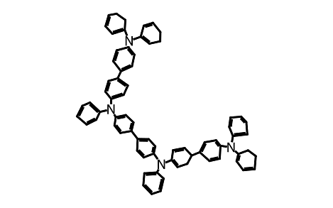 C1=CCCC(N(C2=CCCC=C2)c2ccc(-c3ccc(N(c4ccccc4)c4ccc(-c5ccc(N(C6=CCC(c7ccc(N(C8=CC=CCC8)c8ccccc8)cc7)C=C6)c6ccccc6)cc5)cc4)cc3)cc2)=C1